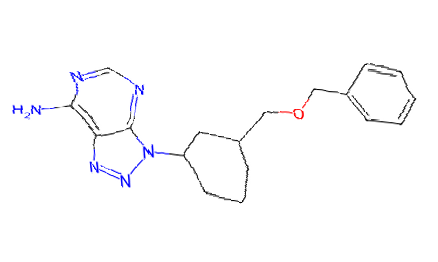 Nc1ncnc2c1nnn2C1CCCC(COCc2ccccc2)C1